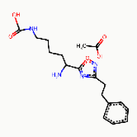 CC(=O)O.NC(CCCCNC(=O)O)c1nc(CCc2ccccc2)no1